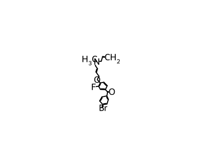 C=CCN(C)CC=CCOc1ccc(C(=O)c2ccc(Br)cc2)cc1F